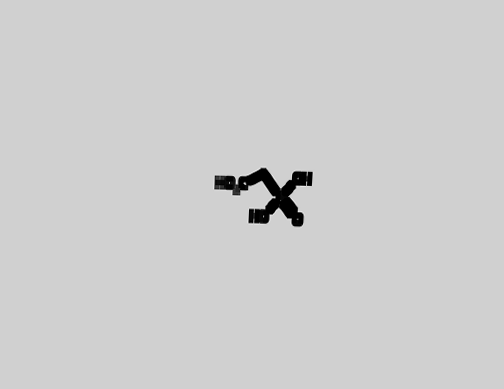 O=C(O)[CH]P(=O)(O)O